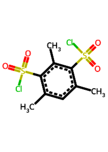 Cc1cc(C)c(S(=O)(=O)Cl)c(C)c1S(=O)(=O)Cl